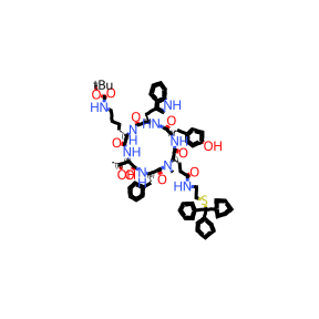 C[C@@H](O)[C@@H]1NC(=O)[C@H](CCCCNC(=O)OC(C)(C)C)NC(=O)[C@@H](Cc2c[nH]c3ccccc23)NC(=O)[C@H](Cc2ccc(O)cc2)NC(=O)[C@H](CCC(=O)NCCSC(c2ccccc2)(c2ccccc2)c2ccccc2)N(C)C(=O)[C@H](Cc2ccccc2)NC1=O